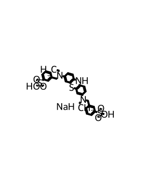 CCN(Cc1cccc(S(=O)(=O)O)c1)c1ccc2c(c1)Sc1cc(N(CC)Cc3cccc(S(=O)(=O)O)c3)ccc1N2.[NaH]